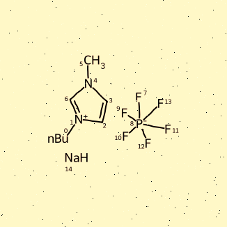 CCCC[n+]1ccn(C)c1.F[P-](F)(F)(F)(F)F.[NaH]